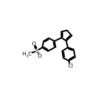 CS(=O)(=O)c1ccc(C2=CCC=C2c2ccc(Cl)cc2)cc1